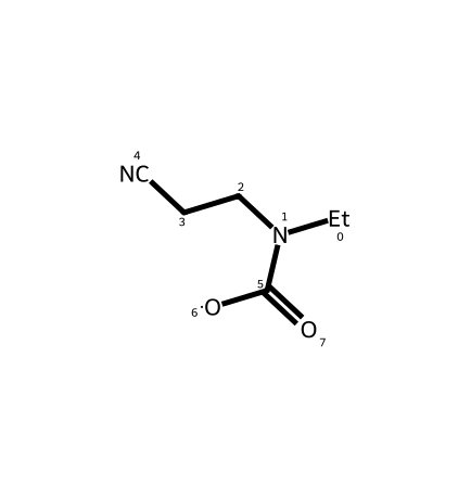 CCN(CCC#N)C([O])=O